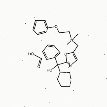 C[N+](C)(CCOc1ccccc1)Cc1cnc(C(O)(c2ccccc2)C2CCCCC2)o1.O=CO